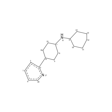 c1ccc(C2CCC(NC3CCCCC3)CC2)nc1